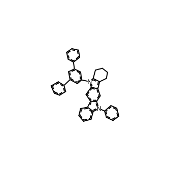 c1ccc(-c2cc(-c3ccccc3)cc(-n3c4c(c5cc6c(cc53)c3ccccc3n6-c3ccccc3)CCCC4)c2)cc1